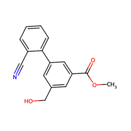 COC(=O)c1cc(CO)cc(-c2ccccc2C#N)c1